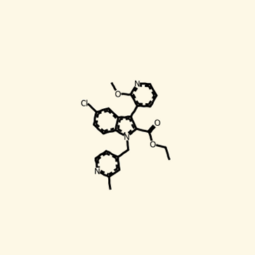 CCOC(=O)c1c(-c2cccnc2OC)c2cc(Cl)ccc2n1Cc1ccnc(C)c1